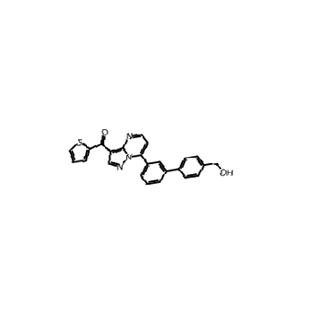 O=C(c1cccs1)c1cnn2c(-c3cccc(-c4ccc(CO)cc4)c3)ccnc12